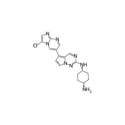 N[C@H]1CC[C@@H](Nc2ncc3c(-c4cnc5ncc(Cl)n5c4)ccn3n2)CC1